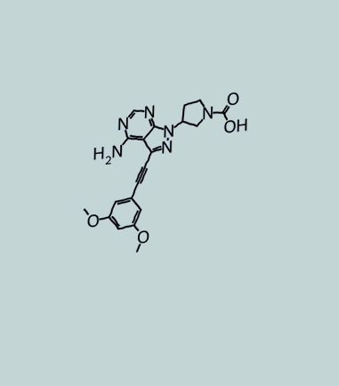 COc1cc(C#Cc2nn(C3CCN(C(=O)O)C3)c3ncnc(N)c23)cc(OC)c1